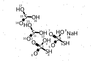 O=S(=O)(O)S.O=S(=O)(O)S.O=S(O)O.O=S(O)O.[NaH]